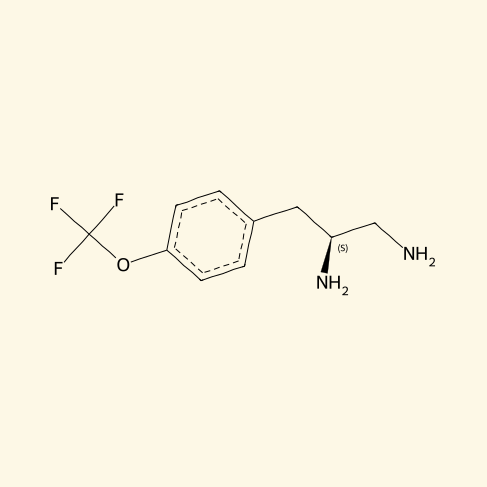 NC[C@@H](N)Cc1ccc(OC(F)(F)F)cc1